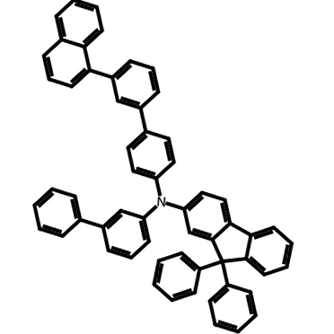 c1ccc(-c2cccc(N(c3ccc(-c4cccc(-c5cccc6ccccc56)c4)cc3)c3ccc4c(c3)C(c3ccccc3)(c3ccccc3)c3ccccc3-4)c2)cc1